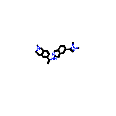 C=C(Nc1cc2cc(-c3cn(C)n3C)ccc2cn1)c1ccc2c(c1)CCN(C)C2